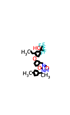 CCCc1cc(C(O)(C(F)(F)F)C(F)(F)F)ccc1Oc1cccc(CN(C=O)C(=O)NC(C)c2ccc(C)cc2)c1